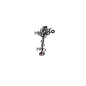 C[C@]1(CC(=O)Nc2nccs2)NCCc2cc(OCCOCCOCCNC(=O)CC34CC5CC(CC(C5)C3)C4)c(OC3(C(=O)O)C=CC(c4ccccc4F)C=C3)cc21